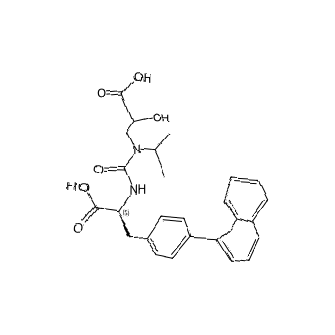 CC(C)N(CC(O)C(=O)O)C(=O)N[C@@H](Cc1ccc(-c2cccc3ccccc23)cc1)C(=O)O